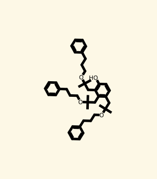 CC(C)(Cc1ccc(O)c(CC(C)(C)OCCCc2ccccc2)c1CC(C)(C)OCCCc1ccccc1)OCCCc1ccccc1